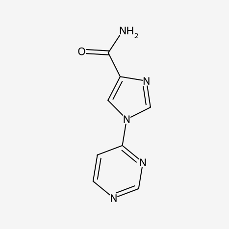 NC(=O)c1cn(-c2ccncn2)cn1